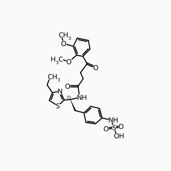 CCc1csc([C@H](Cc2ccc(NS(=O)(=O)O)cc2)NC(=O)CCC(=O)c2cccc(OC)c2OC)n1